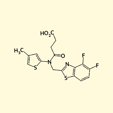 Cc1csc(N(Cc2nc3c(F)c(F)ccc3s2)C(=O)CCC(=O)O)c1